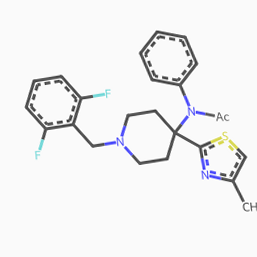 CC(=O)N(c1ccccc1)C1(c2nc(C)cs2)CCN(Cc2c(F)cccc2F)CC1